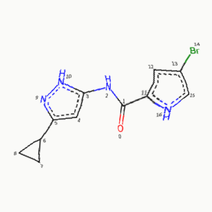 O=C(Nc1cc(C2CC2)n[nH]1)c1cc(Br)c[nH]1